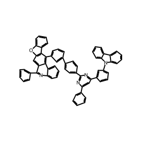 c1ccc(-c2cc(-c3cccc(-n4c5ccccc5c5ccccc54)c3)nc(-c3ccc(-c4cccc(-c5c6c(cc7c(-c8ccccc8)nc8ccccc8c57)oc5ccccc56)c4)cc3)n2)cc1